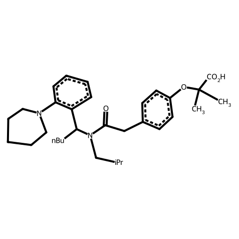 CCCCC(c1ccccc1N1CCCCC1)N(CC(C)C)C(=O)Cc1ccc(OC(C)(C)C(=O)O)cc1